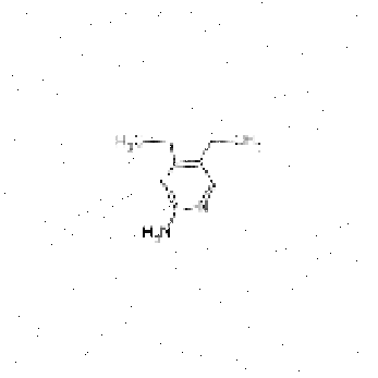 CCc1cnc(N)nc1CC